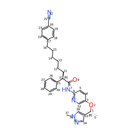 C[C@@H](Oc1ccc(NC(=O)[C@H](CCCCCCc2ccc(C#N)cc2)c2ccccc2)nc1)c1cnn(C)c1